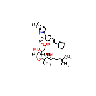 C=C(C)CCCC[C@H](O)[C@@H](C)C(=O)C(C)(C)[C@@H](O)CC(=O)O[C@H]1[C@H](/C=C/c2ccccc2)CC(c2ccc(C)cn2)[C@H]1C